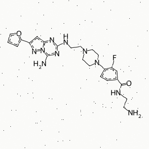 NCCNC(=O)c1ccc(N2CCN(CCNc3nc(N)n4nc(-c5ccco5)cc4n3)CC2)c(F)c1